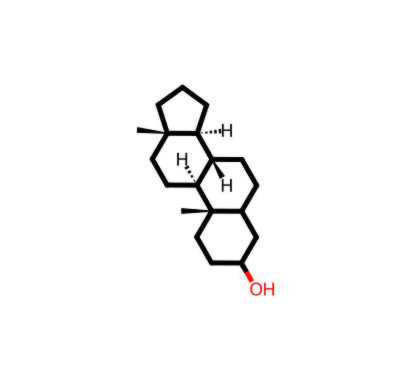 C[C@@]12CCC[C@H]1[C@@H]1CCC3C[C](O)CC[C@]3(C)[C@H]1CC2